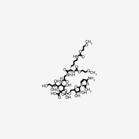 C=C1N=C(N)C=CN1C1OC(COP(=O)(O)OC2(C(=O)O)CC(O)C(NC(=O)CNC(=O)[C@H](CCCCNC(=O)OCCOC)NC(=O)OCCOC)C([C@H](O)[C@H](O)CO)O2)[C@@H](O)[C@H]1O